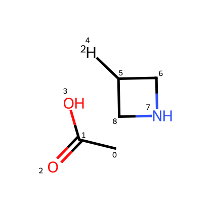 CC(=O)O.[2H]C1CNC1